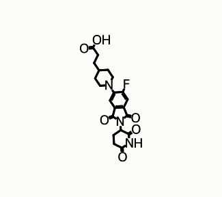 O=C(O)CCC1CCN(c2cc3c(cc2F)C(=O)N(C2CCC(=O)NC2=O)C3=O)CC1